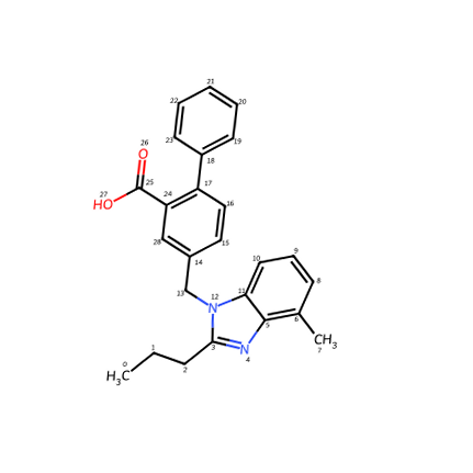 CCCc1nc2c(C)cccc2n1Cc1ccc(-c2ccccc2)c(C(=O)O)c1